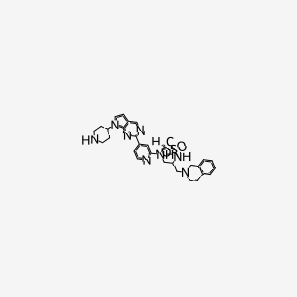 CS(=O)(=O)NC(CNc1cc(-c2ncc3ccn(C4CCNCC4)c3n2)ccn1)CN1CCc2ccccc2C1